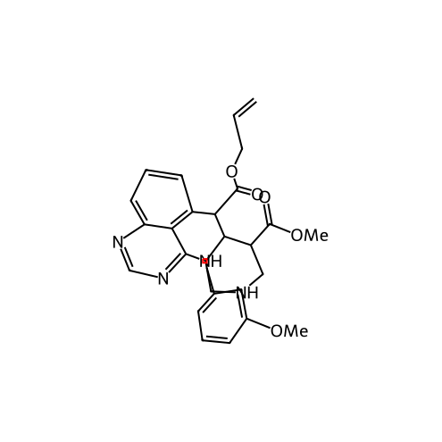 C=CCOC(=O)C(c1cccc2ncnc(Nc3cccc(OC)c3)c12)C1CCNCC1C(=O)OC